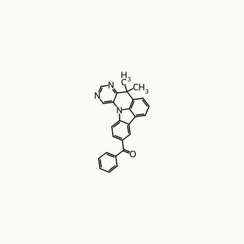 CC1(C)c2ncncc2-n2c3ccc(C(=O)c4ccccc4)cc3c3cccc1c32